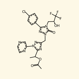 CC(=O)OC(C)c1nc(Cn2nc(-c3ccc(Cl)cc3)n(C[C@H](O)C(F)(F)F)c2=O)nn1-c1cnccn1